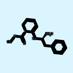 CC(C)(C)OC(=O)N1CC=CC=C1N[C@@H](Cc1ccccc1)C(=O)O